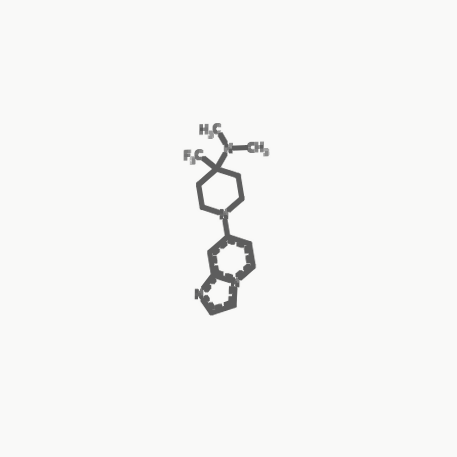 CN(C)C1(C(F)(F)F)CCN(c2ccn3ccnc3c2)CC1